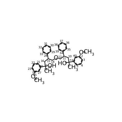 COc1cccc(C(C)(O)CC(COCC(CC(C)(O)c2cccc(OC)c2)c2ccccc2)c2ccccc2)c1